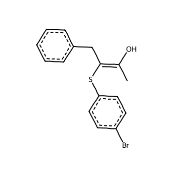 CC(O)=C(Cc1ccccc1)Sc1ccc(Br)cc1